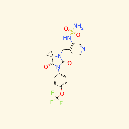 NS(=O)(=O)Nc1cnccc1CN1C(=O)N(c2ccc(OC(F)(F)F)cc2)C(=O)C12CC2